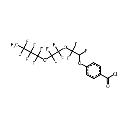 O=C(Cl)c1ccc(OC(F)C(F)(F)OC(F)(F)C(F)(F)OC(F)(F)C(F)(F)C(F)(F)C(F)(F)F)cc1